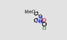 COc1ccc([C@H]2CCN(c3nc4cc(Cl)ccc4o3)[C@@H]2c2ccccn2)cc1